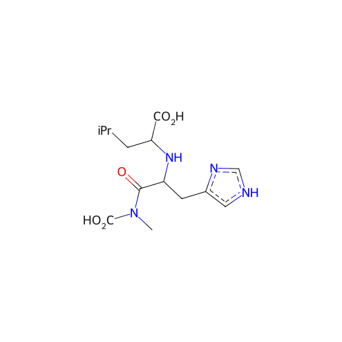 CC(C)CC(NC(Cc1c[nH]cn1)C(=O)N(C)C(=O)O)C(=O)O